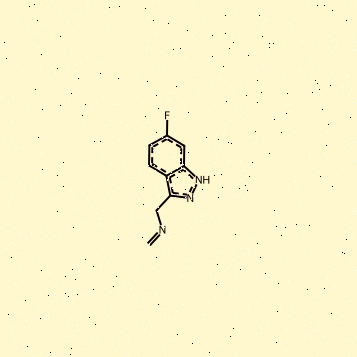 C=NCc1n[nH]c2cc(F)ccc12